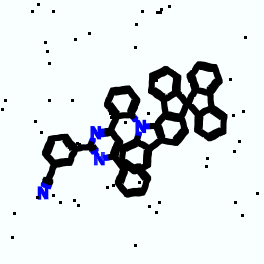 N#Cc1cccc(-c2nc(-c3ccccc3)cc(-c3ccccc3-n3c4ccccc4c4ccc5c(c43)-c3ccccc3C53c4ccccc4-c4ccccc43)n2)c1